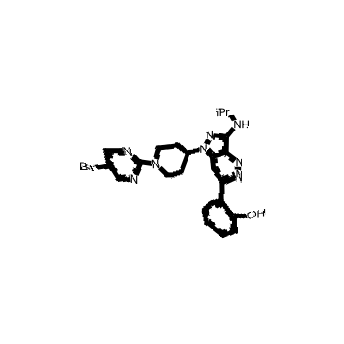 CC(C)Nc1nn(C2CCN(c3ncc(Br)cn3)CC2)c2cc(-c3ccccc3O)nnc12